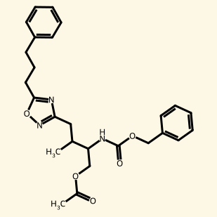 CC(=O)OCC(NC(=O)OCc1ccccc1)C(C)Cc1noc(CCCc2ccccc2)n1